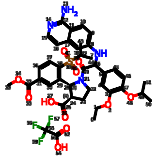 CCOc1cc(C(Nc2ccc3c(N)nccc3c2)C(=O)N2CC[C@@H](C(=O)O)[C@H]2c2cc(C(=O)OC)ccc2S(=O)(=O)C(C)C)ccc1OC(C)C.O=C(O)C(F)(F)F